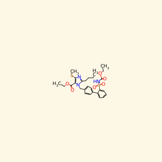 CCCCc1nc(SC)c(C(=O)OCC)n1Cc1ccc(-c2ccccc2S(=O)(=O)NC(=O)OCC)cc1